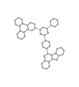 c1ccc(-c2cc(-c3ccc4c5ccccc5c5ccccc5c4c3)nc(-c3ccc(-c4nc5ccccc5c5oc6ccccc6c45)cc3)n2)cc1